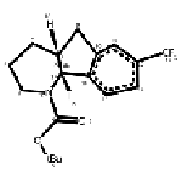 CC(C)(C)OC(=O)N1CCC[C@@H]2Cc3cc(C(F)(F)F)ccc3[C@@H]21